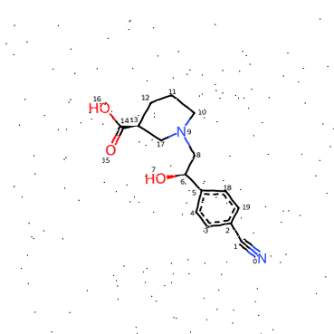 N#Cc1ccc([C@@H](O)CN2CCC[C@H](C(=O)O)C2)cc1